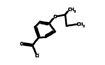 CCC(C)Oc1ccc(C(=O)Cl)cc1